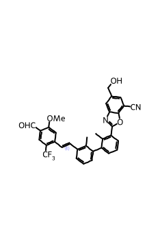 COc1cc(/C=C/c2cccc(-c3cccc(-c4nc5cc(CO)cc(C#N)c5o4)c3C)c2C)c(C(F)(F)F)cc1C=O